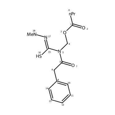 CCCC(=O)OCN(C(=O)Cc1ccccc1)/C(S)=N/NC